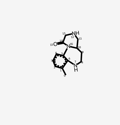 Cc1cccc2c1NCCC1CNCC(=O)N21